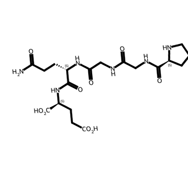 NC(=O)CC[C@H](NC(=O)CNC(=O)CNC(=O)[C@@H]1CCCN1)C(=O)N[C@@H](CCC(=O)O)C(=O)O